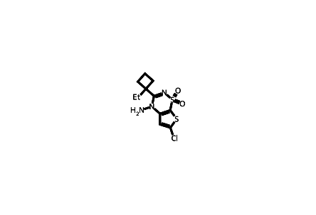 CCC1(C2=NS(=O)(=O)c3sc(Cl)cc3N2N)CCC1